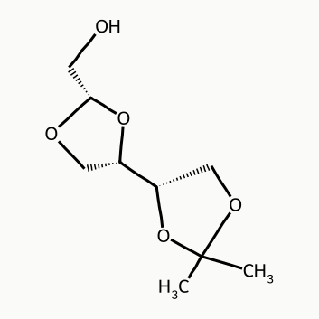 CC1(C)OC[C@@H]([C@@H]2CO[C@H](CO)O2)O1